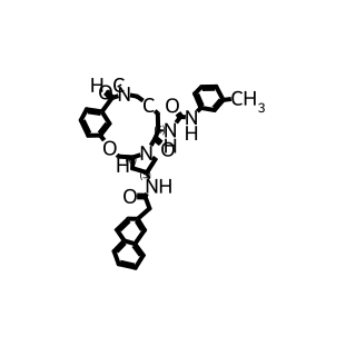 Cc1cccc(NC(=O)N[C@H]2CCCN(C)C(=O)c3cccc(c3)OC[C@@H]3C[C@H](NC(=O)Cc4ccc5ccccc5c4)CN3C2=O)c1